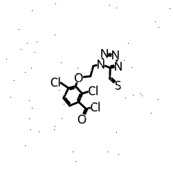 O=C(Cl)c1ccc(Cl)c(OCCn2nnnc2C=S)c1Cl